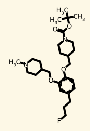 CN1CCC(COc2cc(CCCF)ccc2OCC2CCN(C(=O)OC(C)(C)C)CC2)CC1